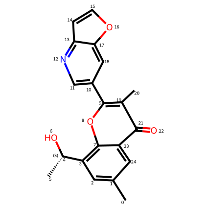 Cc1cc([C@H](C)O)c2oc(-c3cnc4ccoc4c3)c(C)c(=O)c2c1